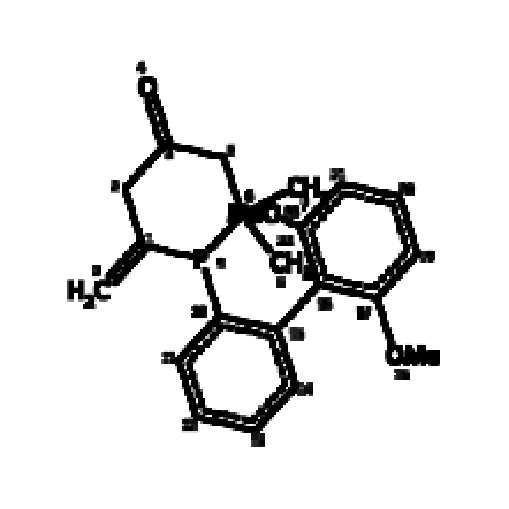 C=C1CC(=O)CC(C)(C)P1c1ccccc1-c1c(OC)cccc1OC